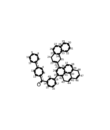 O=C(c1ccc(-c2ccccc2)cc1)c1cccc(-c2cc(C3=CCc4ccc5ccccc5c4C3)c3ccc4c5c3c2CC=C5C=CC4)c1